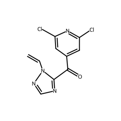 C=Cn1ncnc1C(=O)c1cc(Cl)nc(Cl)c1